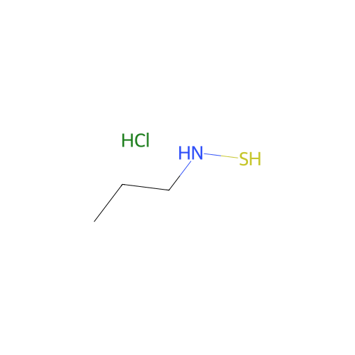 CCCNS.Cl